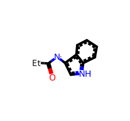 CCC(=O)[N]c1c[nH]c2ccccc12